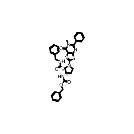 Cn1c(-c2ccccc2)nc2sc(N3CC[C@H](NC(=O)OCc4ccccc4)[C@@H]3C(=O)NCc3ccccc3)nc2c1=O